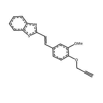 C#CCOc1ccc(/C=C/c2nc3ccccc3s2)cc1OC